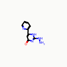 NNc1nc(=O)cc(-c2ccccn2)[nH]1